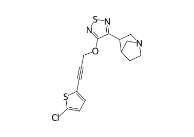 Clc1ccc(C#CCOc2nsnc2C2CN3CCC2C3)s1